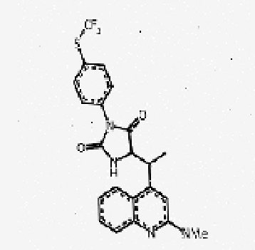 CNc1cc(C(C)C2NC(=O)N(c3ccc(SC(F)(F)F)cc3)C2=O)c2ccccc2n1